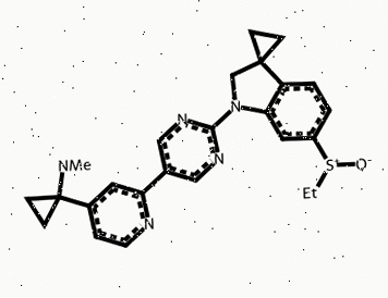 CC[S+]([O-])c1ccc2c(c1)N(c1ncc(-c3cc(C4(NC)CC4)ccn3)cn1)CC21CC1